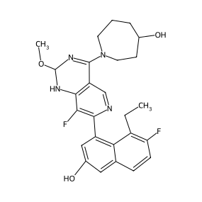 CCc1c(F)ccc2cc(O)cc(-c3ncc4c(c3F)NC(OC)N=C4N3CCCC(O)CC3)c12